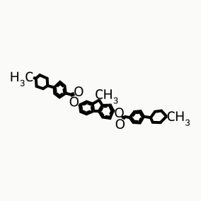 CC1CCC(c2ccc(C(=O)Oc3ccc4c(c3)C(C)c3cc(OC(=O)c5ccc(C6CCC(C)CC6)cc5)ccc3-4)cc2)CC1